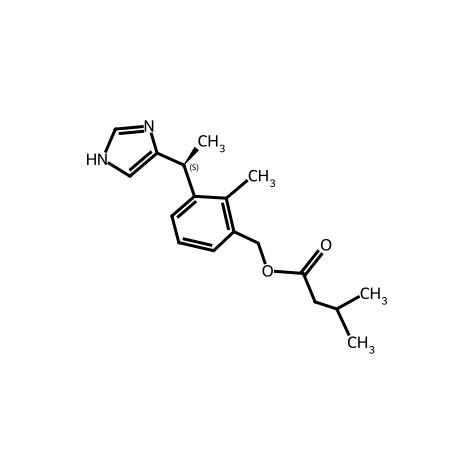 Cc1c(COC(=O)CC(C)C)cccc1[C@H](C)c1c[nH]cn1